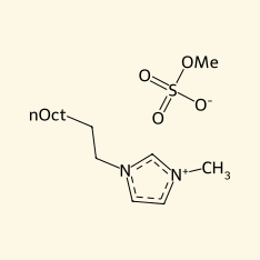 CCCCCCCCCCn1cc[n+](C)c1.COS(=O)(=O)[O-]